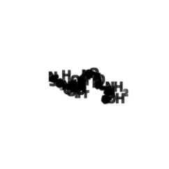 Cc1ncsc1-c1ccc([C@H](C)NC(=O)[C@@H]2C[C@@H](O)CN2C(=O)[C@@H](c2cc(N3CCC(CN4CCC(OC5CC(Oc6cc(CCc7cc(-c8ccccc8O)nnc7N)ccn6)C5)CC4)CC3)no2)C(C)C)cc1